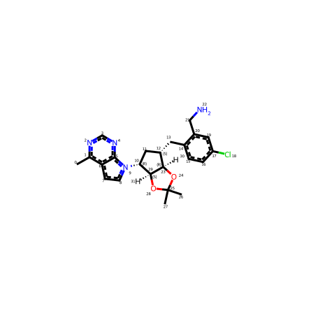 Cc1ncnc2c1ccn2[C@@H]1C[C@H](Cc2ccc(Cl)cc2CN)[C@H]2OC(C)(C)O[C@H]21